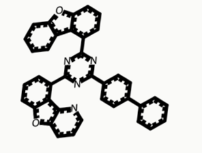 c1ccc(-c2ccc(-c3nc(-c4cccc5oc6ccccc6c45)nc(-c4cccc5oc6cccnc6c45)n3)cc2)cc1